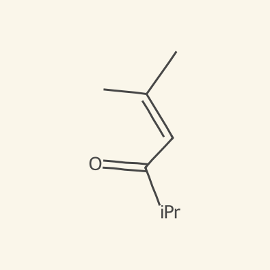 CC(C)=CC(=O)C(C)C